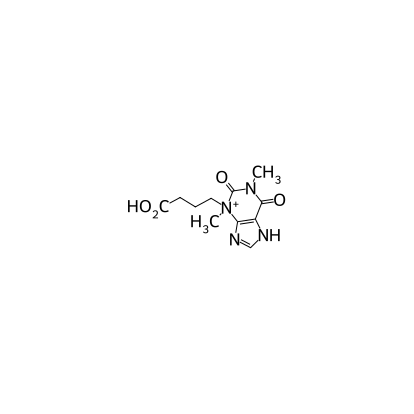 CN1C(=O)c2[nH]cnc2[N+](C)(CCCC(=O)O)C1=O